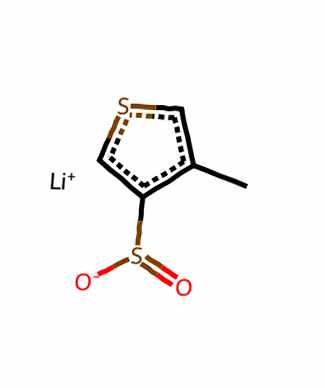 Cc1cscc1S(=O)[O-].[Li+]